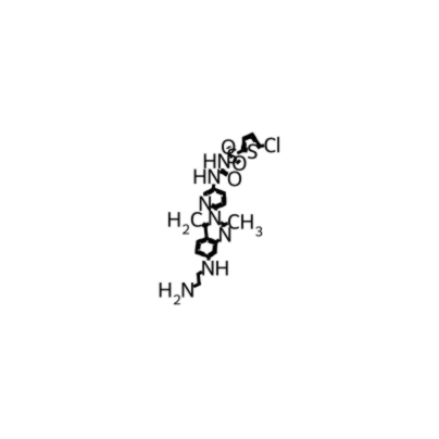 C=C1c2ccc(NCCN)cc2N=C(C)N1c1ccc(NC(=O)NS(=O)(=O)c2ccc(Cl)s2)cn1